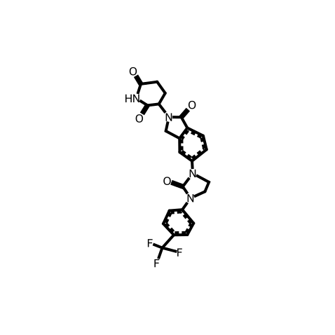 O=C1CCC(N2Cc3cc(N4CCN(c5ccc(C(F)(F)F)cc5)C4=O)ccc3C2=O)C(=O)N1